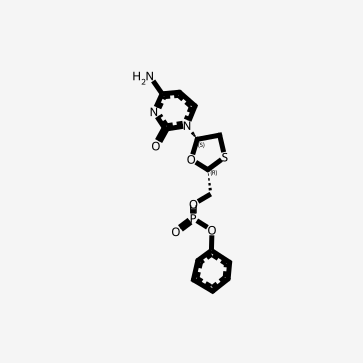 Nc1ccn([C@@H]2CS[C@H](CO[PH](=O)Oc3ccccc3)O2)c(=O)n1